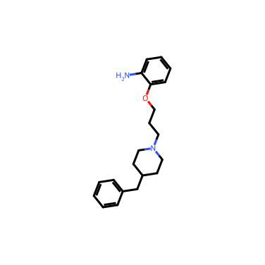 Nc1ccccc1OCCCN1CCC(Cc2ccccc2)CC1